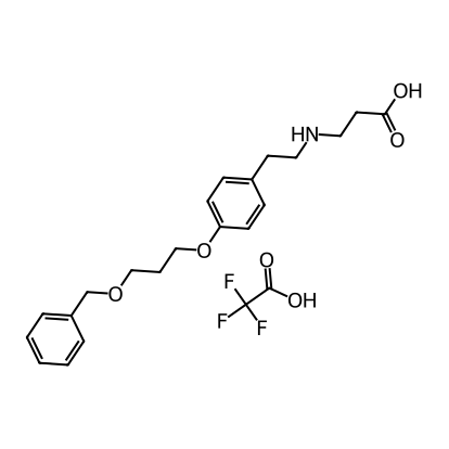 O=C(O)C(F)(F)F.O=C(O)CCNCCc1ccc(OCCCOCc2ccccc2)cc1